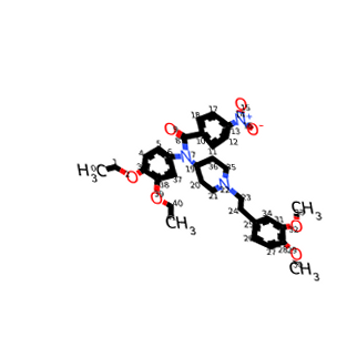 CCOc1ccc(N(C(=O)c2ccc([N+](=O)[O-])cc2)C2CCN(CCc3ccc(OC)c(OC)c3)CC2)cc1OCC